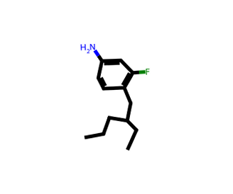 CCCC(CC)Cc1ccc(N)cc1F